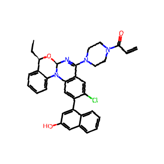 C=CC(=O)N1CCN(C2=NC3O[C@H](CC)c4ccccc4N3c3cc(-c4cc(O)cc5ccccc45)c(Cl)cc32)CC1